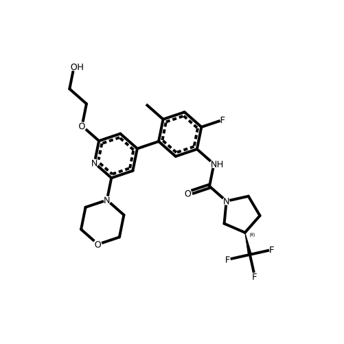 Cc1cc(F)c(NC(=O)N2CC[C@@H](C(F)(F)F)C2)cc1-c1cc(OCCO)nc(N2CCOCC2)c1